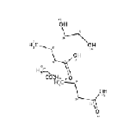 CC(=O)O.CCCC(=O)O.CCCC(=O)O.OCCO